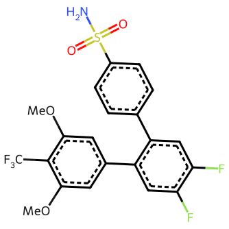 COc1cc(-c2cc(F)c(F)cc2-c2ccc(S(N)(=O)=O)cc2)cc(OC)c1C(F)(F)F